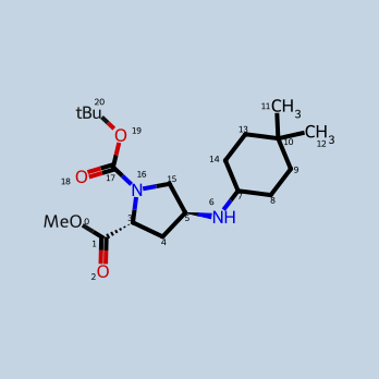 COC(=O)[C@H]1C[C@H](NC2CCC(C)(C)CC2)CN1C(=O)OC(C)(C)C